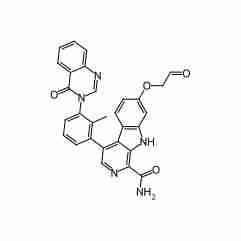 Cc1c(-c2cnc(C(N)=O)c3[nH]c4cc(OCC=O)ccc4c23)cccc1-n1cnc2ccccc2c1=O